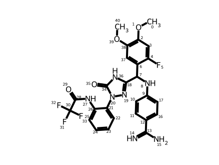 COc1cc(F)c(C(Nc2ccc(C(=N)N)cc2)c2nn(-c3ccccc3NC(=O)C(F)(F)F)c(=O)[nH]2)cc1OC